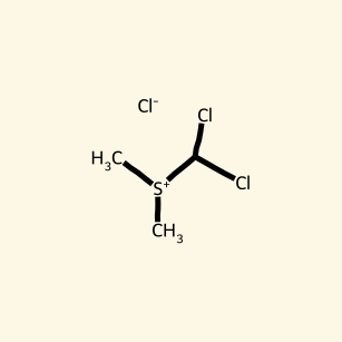 C[S+](C)C(Cl)Cl.[Cl-]